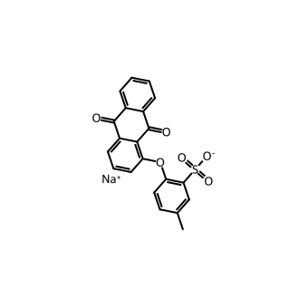 Cc1ccc(Oc2cccc3c2C(=O)c2ccccc2C3=O)c(S(=O)(=O)[O-])c1.[Na+]